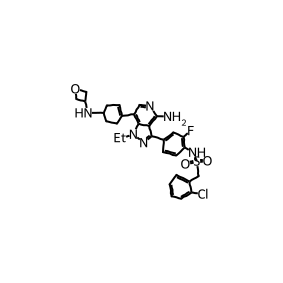 CCn1nc(-c2ccc(NS(=O)(=O)Cc3ccccc3Cl)c(F)c2)c2c(N)ncc(C3=CCC(NC4COC4)CC3)c21